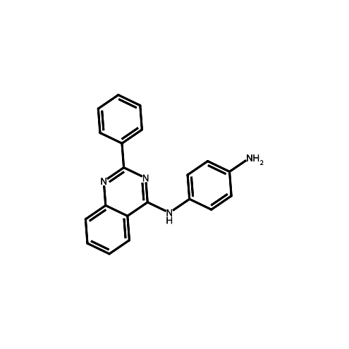 Nc1ccc(Nc2nc(-c3ccccc3)nc3ccccc23)cc1